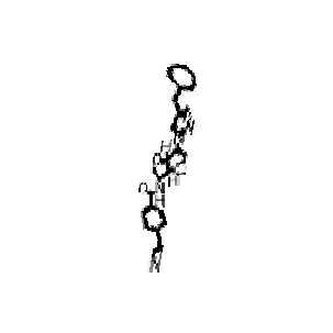 N#Cc1ccc(C(=O)N[C@H]2CO[C@H]3[C@@H]2OC[C@@H]3n2cc(CC3CCCCC3)nn2)cc1